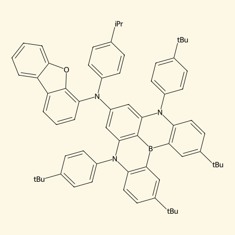 CC(C)c1ccc(N(c2cc3c4c(c2)N(c2ccc(C(C)(C)C)cc2)c2ccc(C(C)(C)C)cc2B4c2cc(C(C)(C)C)ccc2N3c2ccc(C(C)(C)C)cc2)c2cccc3c2oc2ccccc23)cc1